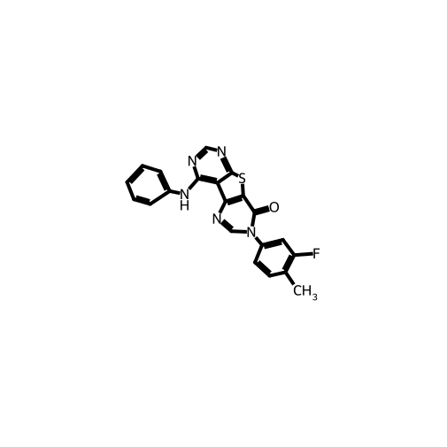 Cc1ccc(-n2cnc3c(sc4ncnc(Nc5ccccc5)c43)c2=O)cc1F